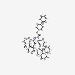 C=N/C(=N\C(=N/Cc1ccc(-c2ccccc2)cc1)c1ccc(-c2ccccc2)cc1)c1cccc2oc3ccc(-c4ccc5ccccc5c4)cc3c12